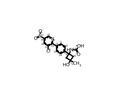 CC1(O)CC(NC(=O)O)(c2ccc(-c3ncc([N+](=O)[O-])cc3Cl)cc2)C1